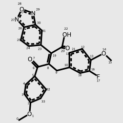 COc1ccc(C(=O)/C(Cc2ccc(OC)c(F)c2)=C(/C(=O)O)c2ccc3nonc3c2)cc1